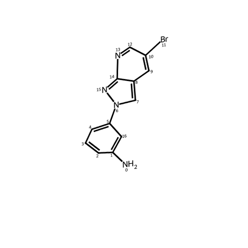 Nc1cccc(-n2cc3cc(Br)cnc3n2)c1